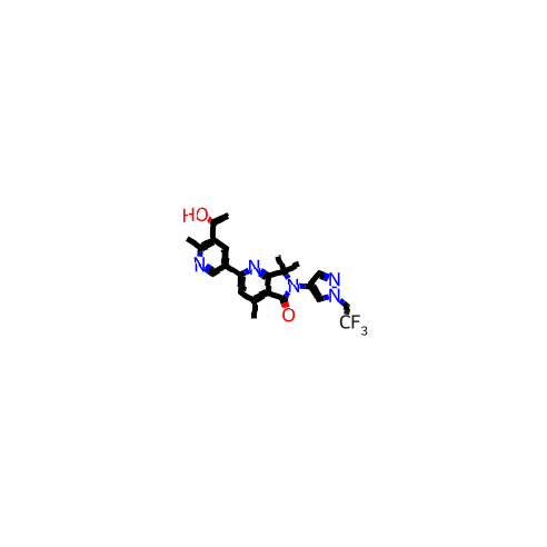 C=C(O)c1cc(-c2cc(C)c3c(n2)C(C)(C)N(c2cnn(CC(F)(F)F)c2)C3=O)cnc1C